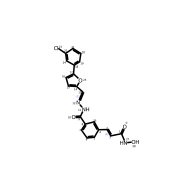 O=C(/C=C/c1cccc(C(=O)N/N=C/c2ccc(-c3cccc(Cl)c3)o2)c1)NO